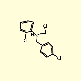 ClC[SiH](Cc1ccc(Cl)cc1)c1ccccc1Cl